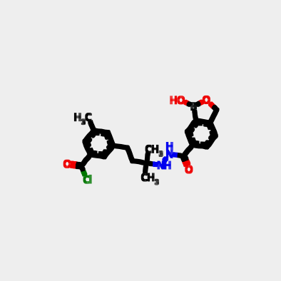 Cc1cc(CCC(C)(C)NNC(=O)c2ccc3c(c2)B(O)OC3)cc(C(=O)Cl)c1